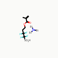 C=C(C)C(=O)OCCC(F)(F)C(F)(F)S(=O)(=O)O.CCN(CC)CC